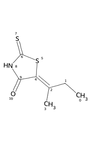 CC/C(C)=C1\SC(=S)NC1=O